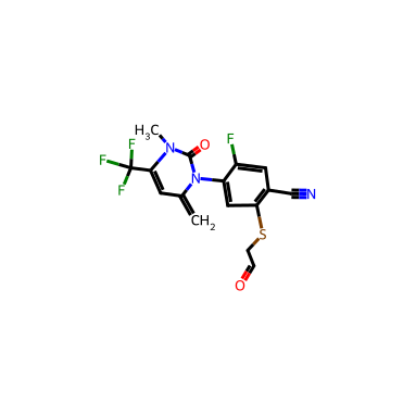 C=C1C=C(C(F)(F)F)N(C)C(=O)N1c1cc(SCC=O)c(C#N)cc1F